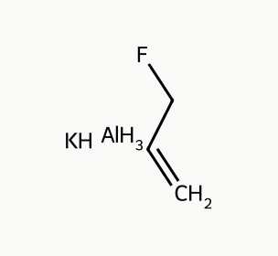 C=CCF.[AlH3].[KH]